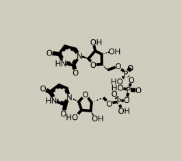 O=c1ccn([C@@H]2O[C@H](COP(=O)(O)OP(=O)(O)OP(=O)(O)OC[C@@H]3O[C@@H](n4ccc(=O)[nH]c4=O)C(O)[C@@H]3O)[C@H](O)C2O)c(=O)[nH]1